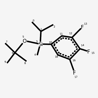 CC(C)[Si](C)(OC(C)(C)C)c1cc(F)c(F)c(F)c1